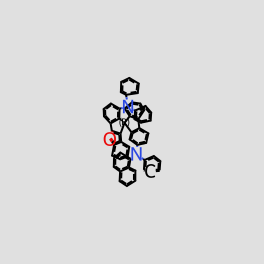 c1ccc(N(c2ccccc2)c2cccc3c2[C@]2(c4ccccc4-c4ccc(N(c5ccccc5)c5cccc6ccccc56)cc42)c2c-3oc3ccccc23)cc1